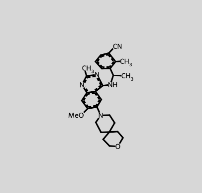 COc1cc2nc(C)nc(N[C@H](C)c3cccc(C#N)c3C)c2cc1N1CCC2(CCOCC2)CC1